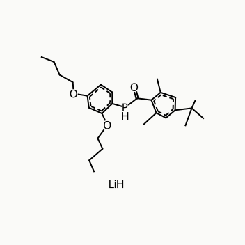 CCCCOc1ccc(PC(=O)c2c(C)cc(C(C)(C)C)cc2C)c(OCCCC)c1.[LiH]